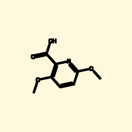 COc1ccc(OC)c(C(=O)O)n1